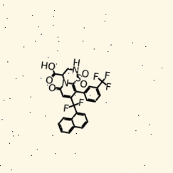 O=C(O)C1CNS(=O)(=O)c2c(-c3cccc(C(F)(F)F)c3)c(C(F)(F)c3cccc4ccccc34)cc(=O)n21